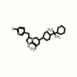 CC(C)(C1CCCCC1)C1CCC(C2CC([N+](=O)[O-])=C3NCC(Cc4ccc(Cl)nc4)N3C2)CC1